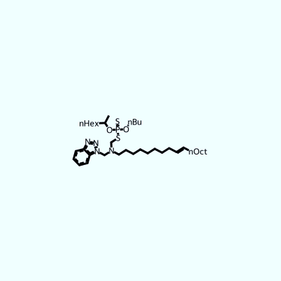 CCCCCCCC/C=C/CCCCCCCCN(CSP(=S)(OCCCC)OC(C)CCCCCC)Cn1nnc2ccccc21